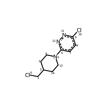 ClCC1CCN(c2ccc(Cl)nn2)CC1